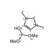 CN1C=CN(C)C1.COP(O)OC